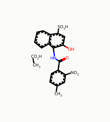 CC(=O)O.Cc1ccc(C(=O)Nc2c(O)cc(S(=O)(=O)O)c3ccccc23)c([N+](=O)[O-])c1